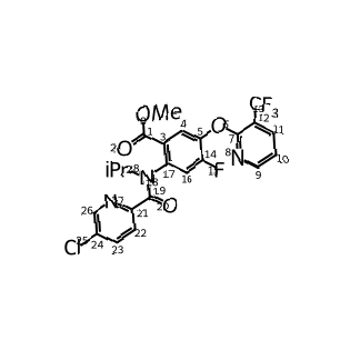 COC(=O)c1cc(Oc2ncccc2C(F)(F)F)c(F)cc1N(C(=O)c1ccc(Cl)cn1)C(C)C